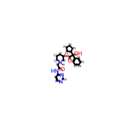 C[N@@+]1(CC(=O)Nc2ccncn2)CCCC(OC(=O)C(O)(c2ccccc2)C2CCCC2)C1